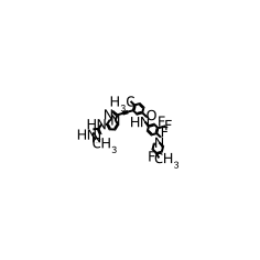 Cc1ccc(C(=O)Nc2ccc(CN3CCC(C)(F)CC3)c(C(F)(F)F)c2)cc1C#Cc1cnc2c(NC3=CN(C)NC3)cccn12